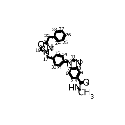 CNC(=O)c1ccc2c(c1)ncn2-c1ccc(CN2COC(Cc3ccccc3)=N2)cc1